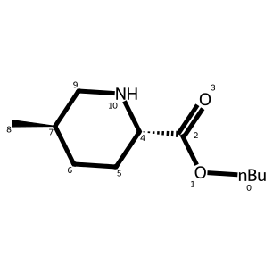 CCCCOC(=O)[C@@H]1CC[C@@H](C)CN1